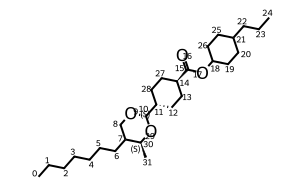 CCCCCCCC1CO[C@H]([C@H]2CC[C@H](C(=O)OC3CCC(CCC)CC3)CC2)O[C@H]1C